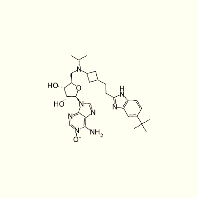 CC(C)N(C[C@H]1O[C@@H](n2cnc3c(N)[n+]([O-])cnc32)[C@H](O)[C@@H]1O)C1CC(CCc2nc3cc(C(C)(C)C)ccc3[nH]2)C1